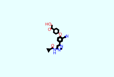 N#Cc1cc(-c2cc(NC(=O)C3CC3)ncn2)ccc1OC1CCC(C(=O)CO)CC1